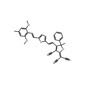 COc1cc(C)cc(OC)c1/C=C/c1ccc(/C=C/C2=C(C#N)C(=C(C#N)C#N)OC2(C)c2ccccc2)s1